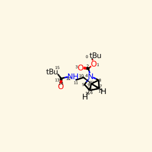 CC(C)(C)OC(=O)N1C[C@@H]2[C@@H]3C1[C@@]23CCNC(=O)C(C)(C)C